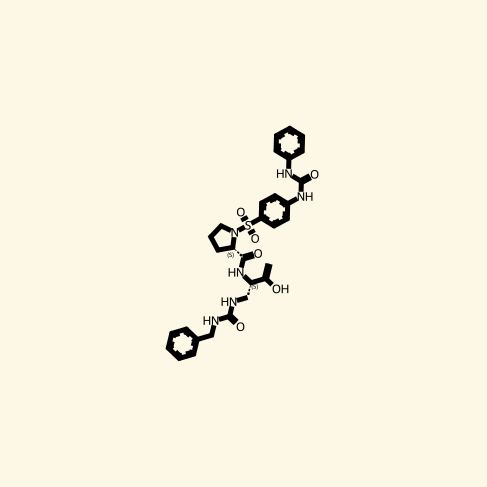 C=C(O)[C@H](CNC(=O)NCc1ccccc1)NC(=O)[C@@H]1CCCN1S(=O)(=O)c1ccc(NC(=O)Nc2ccccc2)cc1